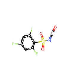 O=C=NS(=O)(=O)c1c(F)cc(F)cc1F